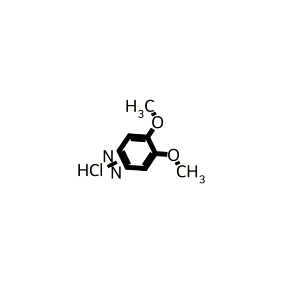 COc1ccccc1OC.Cl.N#N